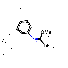 CCC/C(=N/c1ccccc1)OC